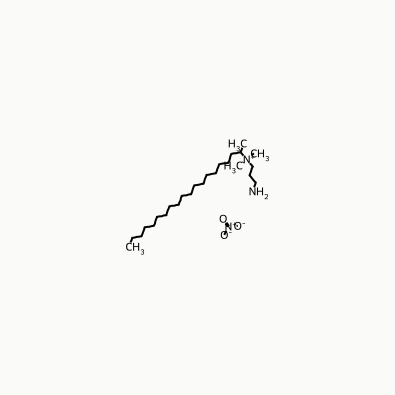 CCCCCCCCCCCCCCCCCCC(C)[N+](C)(C)CCCN.O=[N+]([O-])[O-]